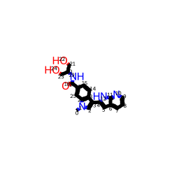 Cn1cc(-c2cc3cccnc3[nH]2)c2ccc(C(=O)NC(CO)CO)cc21